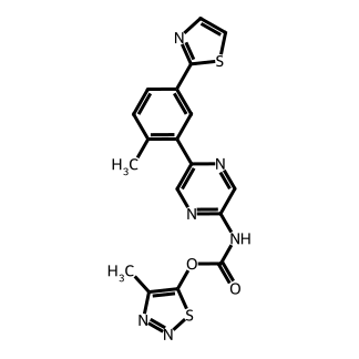 Cc1ccc(-c2nccs2)cc1-c1cnc(NC(=O)Oc2snnc2C)cn1